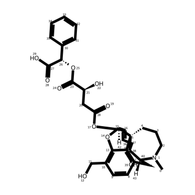 CN1CCC[C@]23c4c5ccc(CO)c4O[C@H]2C(OC(=O)C[C@H](O)C(=O)O[C@H](C(=O)O)c2ccccc2)=CC[C@@]3(O)[C@H]1C5